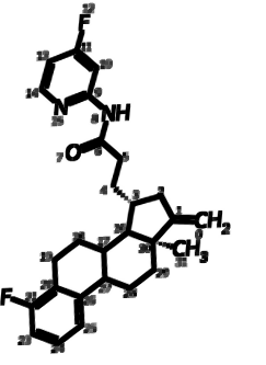 C=C1C[C@@H](CCC(=O)Nc2cc(F)ccn2)C2C3CCc4c(F)cccc4C3CC[C@]12C